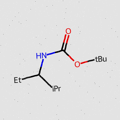 CCC(NC(=O)OC(C)(C)C)C(C)C